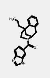 CCCC12CCN(C(=O)c3ccc4nc[nH]c4c3)C(Cc3ccccc31)C2